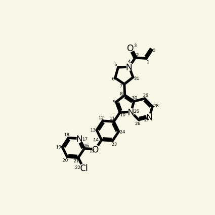 C=CC(=O)N1CCC(c2cc(-c3ccc(Oc4ncccc4Cl)cc3)n3cnccc23)C1